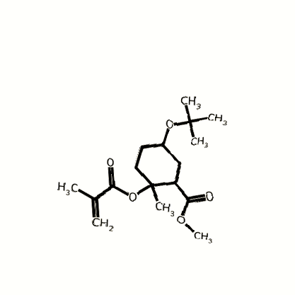 C=C(C)C(=O)OC1(C)CCC(OC(C)(C)C)CC1C(=O)OC